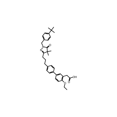 CCOc1ccc(-c2ccc(CCCC3=NN(Cc4ccc(C(C)(C)C)cc4)C(=O)C3(C)C)cc2)cc1CC(=O)O